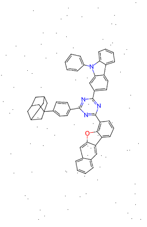 c1ccc(-n2c3ccccc3c3ccc(-c4nc(-c5ccc(C67CC8CC(CC(C8)C6)C7)cc5)nc(-c5cccc6c5oc5cc7ccccc7cc56)n4)cc32)cc1